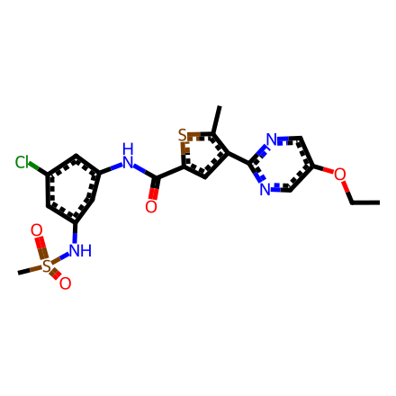 CCOc1cnc(-c2cc(C(=O)Nc3cc(Cl)cc(NS(C)(=O)=O)c3)sc2C)nc1